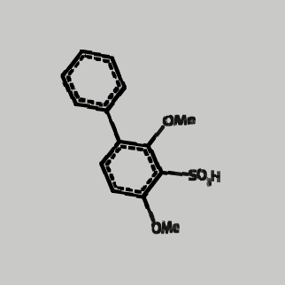 COc1ccc(-c2ccccc2)c(OC)c1S(=O)(=O)O